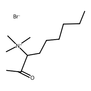 CCCCCCC(C(C)=O)[N+](C)(C)C.[Br-]